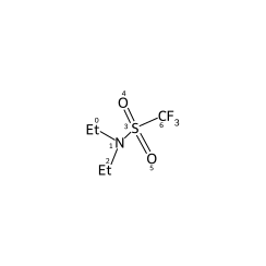 CCN(CC)S(=O)(=O)C(F)(F)F